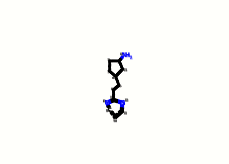 NC1CCC(CCc2ncccn2)C1